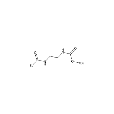 CCC(=O)NCCNC(=O)OC(C)(C)C